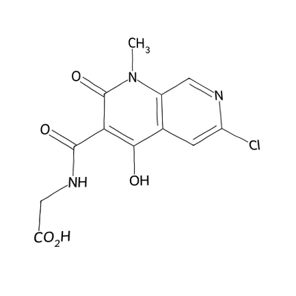 Cn1c(=O)c(C(=O)NCC(=O)O)c(O)c2cc(Cl)ncc21